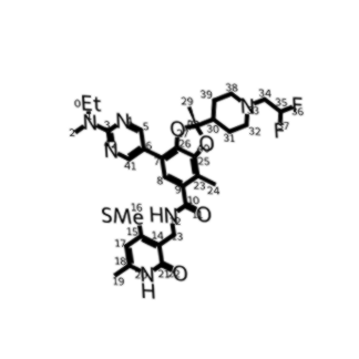 CCN(C)c1ncc(-c2cc(C(=O)NCc3c(SC)cc(C)[nH]c3=O)c(C)c3c2O[C@](C)(C2CCN(CC(F)F)CC2)O3)cn1